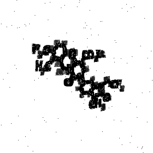 CCOC(=O)c1cn(-c2ccc3c(c2)n(CC(F)(F)F)c(=O)n3C)c(=O)n(Cc2cccc(C(F)(F)F)c2C)c1=O